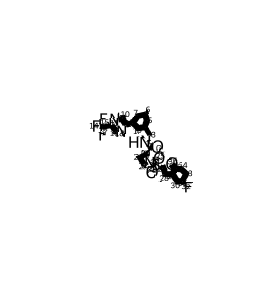 O=C(NCc1cccc(-c2cnc(C(F)(F)F)cn2)c1)[C@@H]1CCN1S(=O)(=O)c1cc2cc(F)ccc2o1